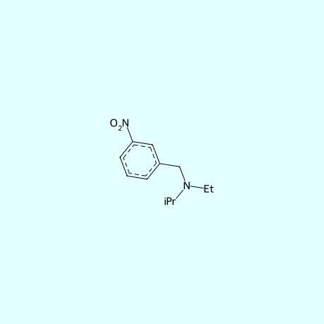 CCN(Cc1cccc([N+](=O)[O-])c1)C(C)C